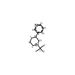 CC(C)(C)N1CCCC(c2cccnc2)C1